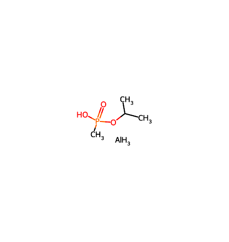 CC(C)OP(C)(=O)O.[AlH3]